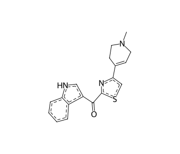 CN1CC=C(c2csc(C(=O)c3c[nH]c4ccccc34)n2)CC1